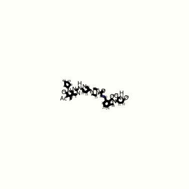 CC(=O)c1c(C)c2cnc(Nc3ccc(N4CCN(C(=O)/C=C/c5cccc6c5C(=O)N([C@@H]5CCC(=O)NC5=O)C6)CC4)cn3)nc2n(C2CCCC2)c1=O